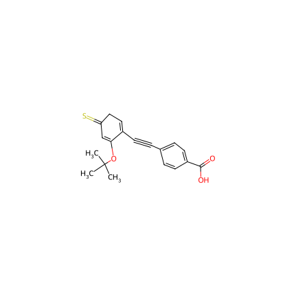 CC(C)(C)OC1=CC(=S)CC=C1C#Cc1ccc(C(=O)O)cc1